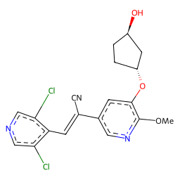 COc1ncc(/C(C#N)=C/c2c(Cl)cncc2Cl)cc1O[C@@H]1CC[C@@H](O)C1